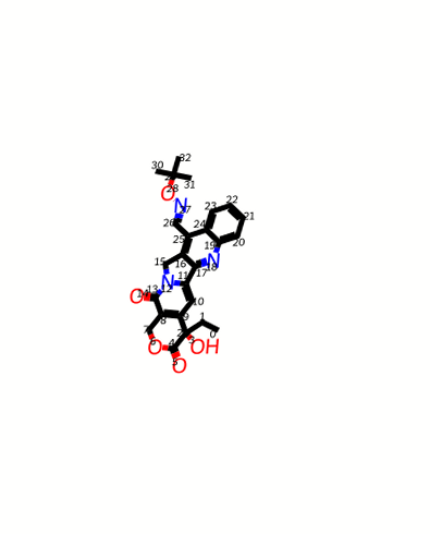 CCC1(O)C(=O)OCc2c1cc1n(c2=O)Cc2c-1nc1ccccc1c2/C=N/OC(C)(C)C